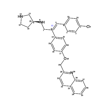 Clc1ccc(/C=C(/CN[C@H]2CCNC2)c2ccc(OCc3ccc4ccccc4n3)cc2)cc1